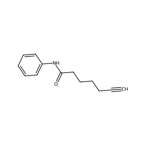 C#CCCCCC(=O)Nc1ccccc1